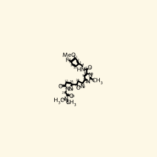 COc1cc(CNC(=O)c2cc(C3=NOC(c4ccc(=O)n(CC(=O)N(C)C)n4)C3)nc(C)n2)ccc1F